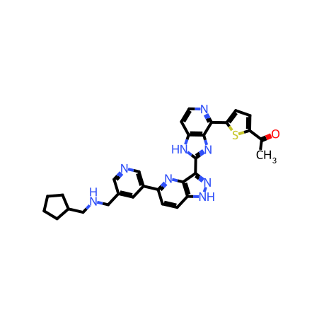 CC(=O)c1ccc(-c2nccc3[nH]c(-c4n[nH]c5ccc(-c6cncc(CNCC7CCCC7)c6)nc45)nc23)s1